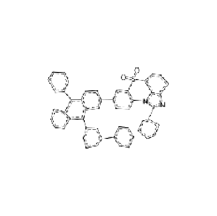 O=S1(=O)c2cc(-c3ccc4c(-c5ccccc5)c5ccccc5c(-c5cccc(-c6ccccc6)c5)c4c3)ccc2-n2c(-c3ccccc3)nc3cccc1c32